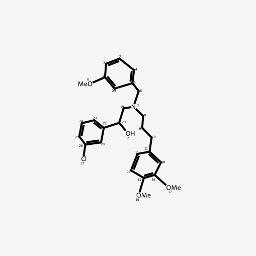 COc1cccc(CN(C[CH]Cc2ccc(OC)c(OC)c2)CC(O)c2cccc(Cl)c2)c1